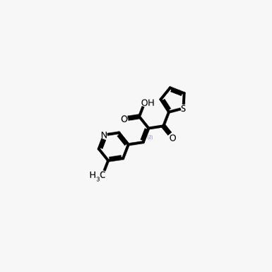 Cc1cncc(/C=C(\C(=O)O)C(=O)c2cccs2)c1